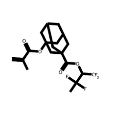 C=C(C)C(=O)OC12CC3CC(C1)CC(C(=O)OC(C(C)(F)F)C(F)(F)F)(C3)C2